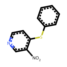 O=[N+]([O-])c1cnccc1Sc1ccccc1